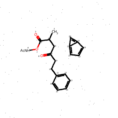 CC(=O)NOC(=O)C(C)CC(=O)CCc1ccccc1.c1cc2cc-2c1